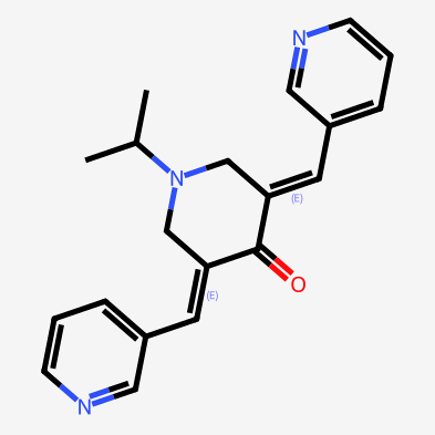 CC(C)N1C/C(=C\c2cccnc2)C(=O)/C(=C/c2cccnc2)C1